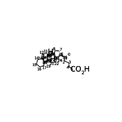 C[C@H](CCCC(=O)O)[C@H]1CC[C@H]2[C@@H]3CCC4CCCC[C@]4(C)[C@H]3CC[C@]12C